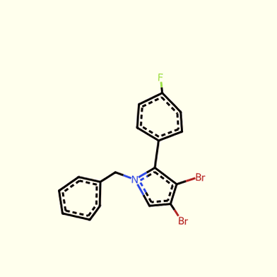 Fc1ccc(-c2c(Br)c(Br)cn2Cc2ccccc2)cc1